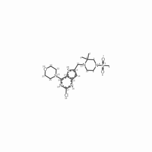 CC1(C)CN(S(C)(=O)=O)CCN1Cc1cc2nc(Cl)nc(N3CCOCC3)c2s1